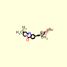 CCCCOCC[Si](C)(C)C#Cc1ccc2c(=O)n3c(nc2c1)CC(C)(C)CC3